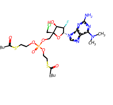 CN(C)c1nc(N)nc2c1ncn2[C@@H]1O[C@](CCl)(COP(=O)(OCCSC(=O)C(C)(C)C)OCCSC(=O)C(C)(C)C)[C@@H](O)[C@H]1F